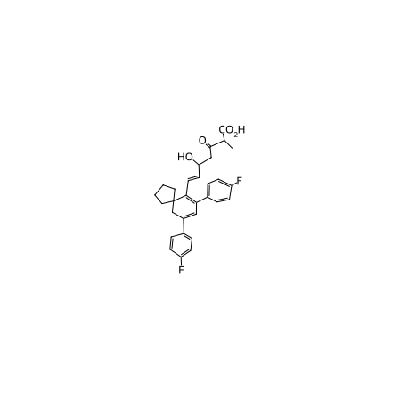 CC(C(=O)O)C(=O)CC(O)C=CC1=C(c2ccc(F)cc2)C=C(c2ccc(F)cc2)CC12CCCC2